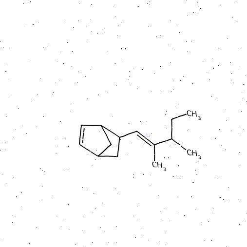 CCC(C)/C(C)=C/C1CC2C=CC1C2